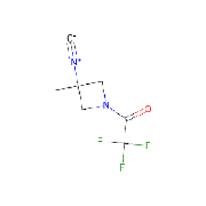 [C-]#[N+]C1(C)CN(C(=O)C(F)(F)F)C1